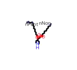 CCCCC/C=C\C/C=C\CCCCCCCC(=O)OC(COC(=O)CCCCCCC/C=C\CCCCCCCCC)C1CCNCC1